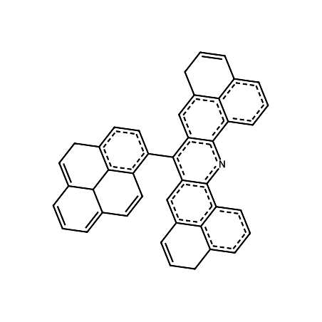 C1=CC2=CCc3ccc(-c4c5cc6c7c(cccc7c5nc5c4cc4c7c(cccc75)C=CC4)CC=C6)c4c3C2C(=C1)C=C4